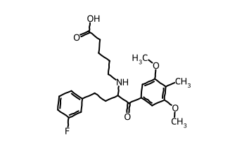 COc1cc(C(=O)C(CCc2cccc(F)c2)NCCCCC(=O)O)cc(OC)c1C